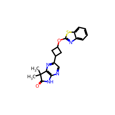 CC1(C)C(=O)Nc2ncc(C3CC(Oc4nc5ccccc5s4)C3)nc21